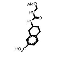 COCNC(=O)NC1CCc2ccc(C(=O)O)cc2C1